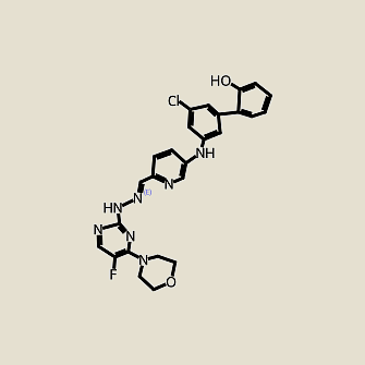 Oc1ccccc1-c1cc(Cl)cc(Nc2ccc(/C=N/Nc3ncc(F)c(N4CCOCC4)n3)nc2)c1